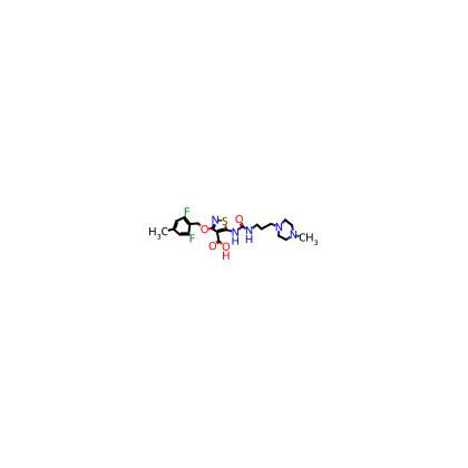 Cc1cc(F)c(COc2nsc(NC(=O)NCCCN3CCN(C)CC3)c2C(=O)O)c(F)c1